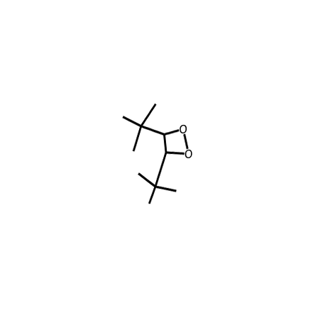 CC(C)(C)C1OOC1C(C)(C)C